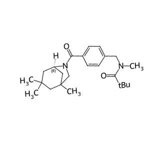 CN(Cc1ccc(C(=O)N2CC3(C)C[C@H]2CC(C)(C)C3)cc1)C(=O)C(C)(C)C